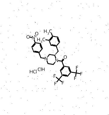 Cc1ccc(C[C@@H]2CN(Cc3ccc([N+](=O)[O-])cc3)CCN2C(=O)c2cc(C(F)(F)F)cc(C(F)(F)F)c2)cc1C.Cl.Cl